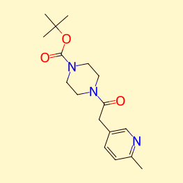 Cc1ccc(CC(=O)N2CCN(C(=O)OC(C)(C)C)CC2)cn1